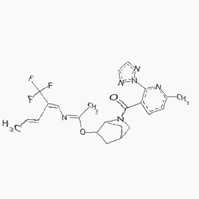 C/C=C/C(=C\N=C(/C)OC1CC2CC1N(C(=O)c1ccc(C)nc1-n1nccn1)C2)C(F)(F)F